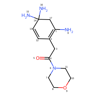 NC1=C(CC(=O)N2CCOCC2)C=CC(N)(N)C1